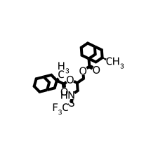 C[C@@H]1CC2CCCC(C(=O)OCC(CNSC(F)(F)F)OC(=O)C3(C)CC4CCCC(C4)C3)(C2)C1